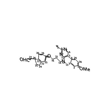 COc1ccc(-c2cnc(I)nc2N(C)CCCOc2ccc3c(c2)CC[C@H]3CC=O)cc1